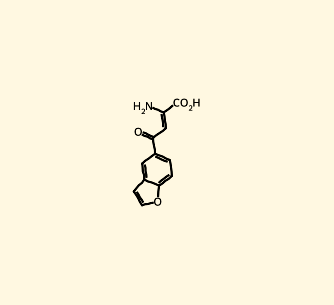 NC(=CC(=O)c1ccc2occc2c1)C(=O)O